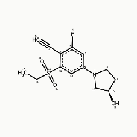 C#Cc1c(F)cc(N2CC[C@@H](O)C2)cc1S(=O)(=O)CC